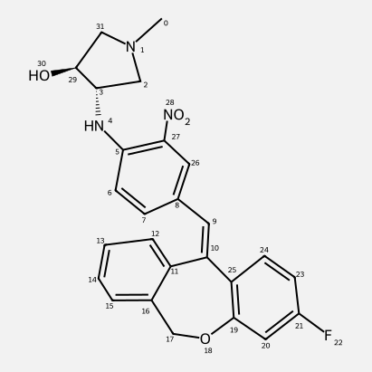 CN1C[C@H](Nc2ccc(/C=C3\c4ccccc4COc4cc(F)ccc43)cc2[N+](=O)[O-])[C@@H](O)C1